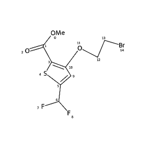 COC(=O)c1sc(C(F)F)cc1OCCBr